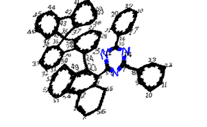 C1=Cc2c(c(-c3nc(-c4ccccc4)nc(-c4ccccc4)n3)c(-c3cccc4c3-c3ccccc3C43c4ccccc4-c4ccccc43)c3ccccc23)CC1